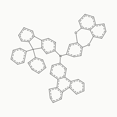 c1ccc(C2(c3ccccc3)c3ccccc3-c3ccc(N(c4ccc5c(c4)Oc4cccc6cccc(c46)O5)c4ccc5c6ccccc6c6ccccc6c5c4)cc32)cc1